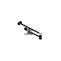 CCCCCCCCCCCCC(OC(=O)CCCCCCCCc1cccc2ccccc12)C(=O)N[C@H]1[C@H](OCc2ccccc2)O[C@H](CO)[C@@H](O)[C@@H]1OC(=O)CCCCCCCCc1cccc2ccccc12